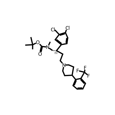 CN(C[C@@H](CCN1CCC(c2ccccc2C(F)(F)F)CC1)c1ccc(Cl)c(Cl)c1)C(=O)OC(C)(C)C